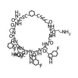 C[C@@]12CCCN1C(=O)[C@H](Cc1cccc(F)c1)NC(=O)[C@H](Cc1cnc[nH]1)NC(=O)[C@H](CC(=O)O)NC(=O)[C@H](Cc1c[nH]c3ccc(F)cc13)NC(=O)[C@H](CCc1c[nH]c3ccc(F)cc13)NC(=O)CNC(=O)[C@H](CCCCN)NC(=O)CCSCc1cccc(c1)CSC[C@@H](C(N)=O)NC2=O